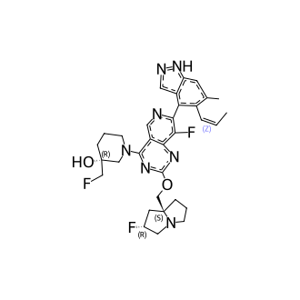 C/C=C\c1c(C)cc2[nH]ncc2c1-c1ncc2c(N3CCC[C@](O)(CF)C3)nc(OC[C@@]34CCCN3C[C@H](F)C4)nc2c1F